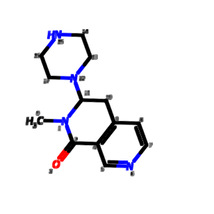 CN1C(=O)c2cnccc2CC1N1CCNCC1